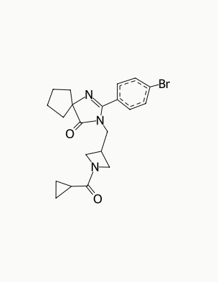 O=C(C1CC1)N1CC(CN2C(=O)C3(CCCC3)N=C2c2ccc(Br)cc2)C1